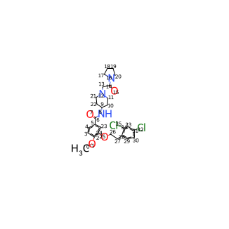 COc1ccc(C(=O)NC2CCN(CC(=O)N3CCCC3)CC2)cc1OCCc1ccc(Cl)cc1Cl